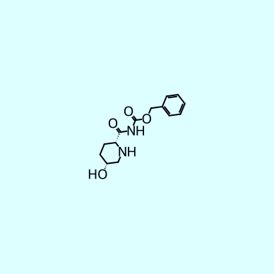 O=C(NC(=O)[C@H]1CC[C@@H](O)CN1)OCc1ccccc1